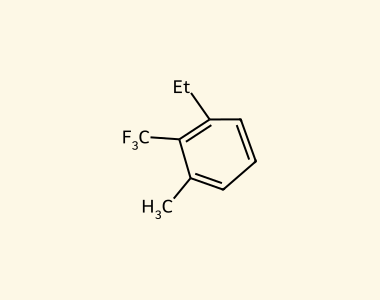 CCc1cccc(C)c1C(F)(F)F